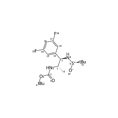 C[C@H](NC(=O)OC(C)(C)C)[C@H](N[S@+]([O-])C(C)(C)C)c1cc(F)cc(F)c1